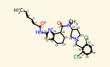 CC=CC=CC(=O)Nc1nc2c(s1)CCCC2C(=O)N(C)C1CCN(Cc2c(Cl)cccc2Cl)C1